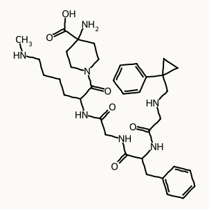 CNCCCCC(NC(=O)CNC(=O)C(Cc1ccccc1)NC(=O)CNCC1(c2ccccc2)CC1)C(=O)N1CCC(N)(C(=O)O)CC1